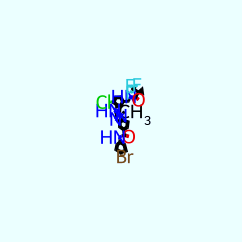 Cn1c(Nc2cc(CNC(=O)C3(C(F)(F)F)CC3)ccc2Cl)nc2cc(C(=O)Nc3ccc(Br)cc3)ccc21